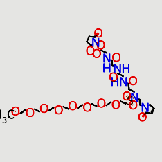 COCCOCCOCCOCCOCCOCCOCCOCCS(=O)(=O)N(CCC(=O)NCC(=O)NCC(=O)NCC(=O)ON1C(=O)CCC1=O)CCN1CC=CC1=O